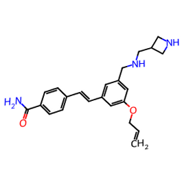 C=CCOc1cc(/C=C/c2ccc(C(N)=O)cc2)cc(CNCC2CNC2)c1